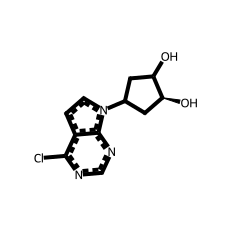 OC1CC(n2ccc3c(Cl)ncnc32)C[C@@H]1O